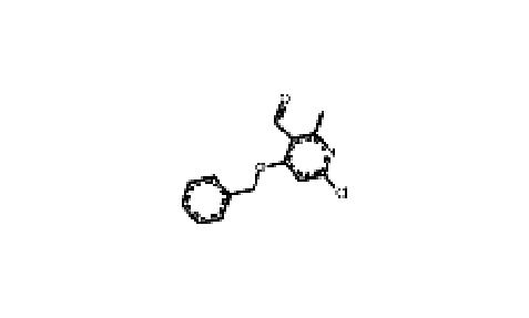 Cc1nc(Cl)cc(OCc2ccccc2)c1C=O